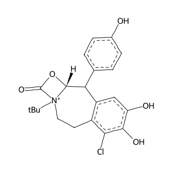 CC(C)(C)[N+]12CCc3c(cc(O)c(O)c3Cl)C(c3ccc(O)cc3)[C@H]1OC2=O